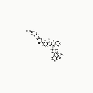 CN1CCC(OC(=O)NC(=N)c2cccc(NN(Cc3ccccc3)C(=O)Nc3ccc(-c4ccccc4S(C)(=O)=O)cc3)c2)CC1